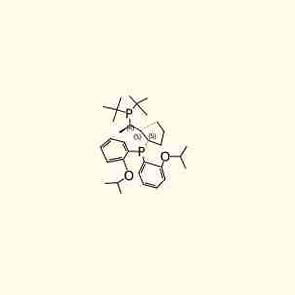 CC(C)Oc1ccccc1P(c1ccccc1OC(C)C)[C@H]1CCC[C@H]1[C@@H](C)P(C(C)(C)C)C(C)(C)C